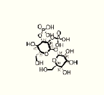 O=P(O)(O)O[C@H]1[C@@H](O[C@H]2O[C@H](CO)[C@@H](O)[C@H](O)[C@H]2O)O[C@H](CO)[C@@H](O)[C@@H]1OP(=O)(O)O